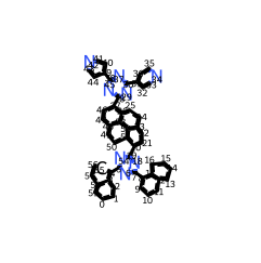 c1ccc2c(-c3nc(-c4cccc5ccccc45)nc(-c4ccc5ccc6c(-c7nc(-c8ccncc8)nc(-c8ccncc8)n7)ccc7ccc4c5c76)n3)cccc2c1